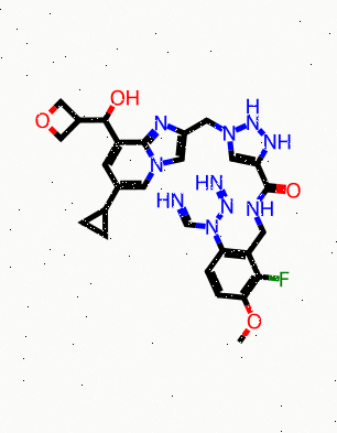 COc1ccc(N(C=N)N=N)c(CNC(=O)C2=CN(Cc3cn4cc(C5CC5)cc(C(O)C5COC5)c4n3)NN2)c1F